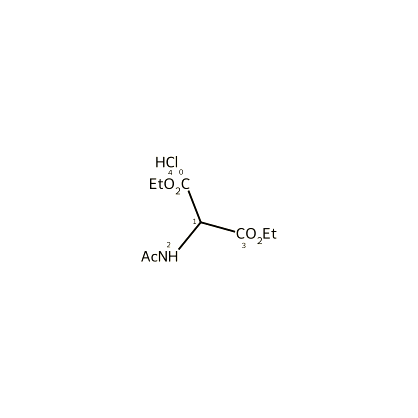 CCOC(=O)C(NC(C)=O)C(=O)OCC.Cl